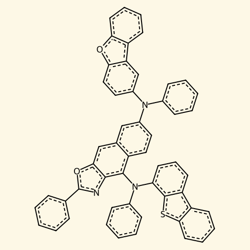 c1ccc(-c2nc3c(N(c4ccccc4)c4cccc5c4sc4ccccc45)c4ccc(N(c5ccccc5)c5ccc6oc7ccccc7c6c5)cc4cc3o2)cc1